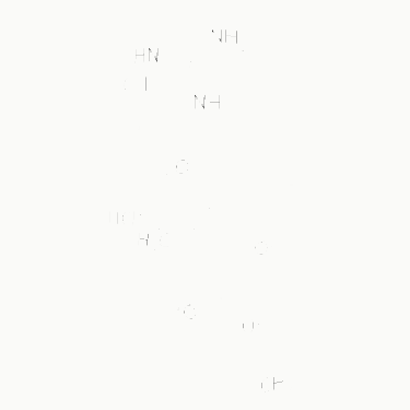 CCOC(=O)c1oc2cccc(OC(CC)NC(=N)N)c2c1C.Cl